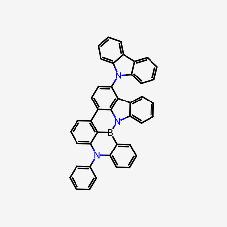 c1ccc(N2c3ccccc3B3c4c(cccc42)-c2ccc(-n4c5ccccc5c5ccccc54)c4c5ccccc5n3c24)cc1